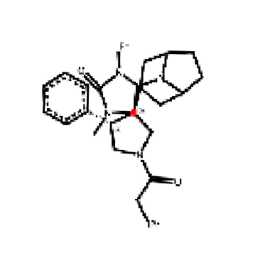 CC(C)CC(=O)N1C[C@H](CN2C3CCC2CC2(C3)CN(C)C(=O)N2C(C)C)[C@@H](c2ccccc2)C1